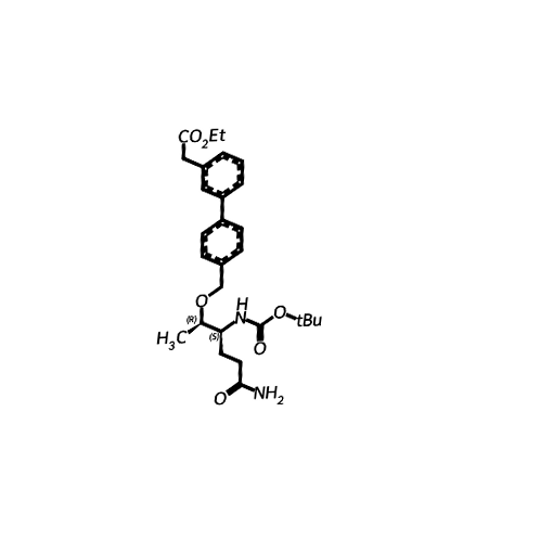 CCOC(=O)Cc1cccc(-c2ccc(CO[C@H](C)[C@H](CCC(N)=O)NC(=O)OC(C)(C)C)cc2)c1